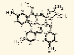 CCOP1N=P(OCC)(OCC)N(Oc2ccc(N)cc2)P(Oc2ccc(N)cc2)N1Oc1ccc(N)cc1